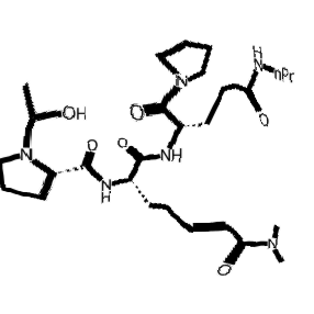 CCCNC(=O)CC[C@H](NC(=O)[C@H](CC/C=C/C(=O)N(C)C)NC(=O)[C@@H]1CCCN1C(C)O)C(=O)N1CCCC1